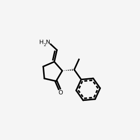 CC(c1ccccc1)[C@@H]1C(=O)CCC1=CN